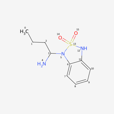 CCCC(N)N1c2ccccc2NS1(=O)=O